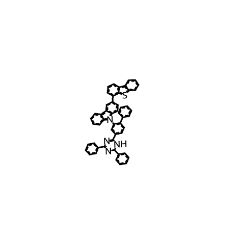 c1ccc(C2=NC(c3ccccc3)NC(c3ccc(-c4ccccc4)c(-n4c5ccccc5c5cc(-c6cccc7c6sc6ccccc67)ccc54)c3)=N2)cc1